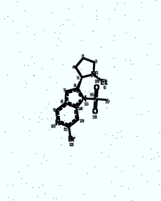 CCN1CCC[C@@H]1c1cc2cnc(Br)cc2n1S(C)(=O)=O